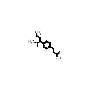 CCCC(NC)c1ccc(CCC(=O)O)cc1